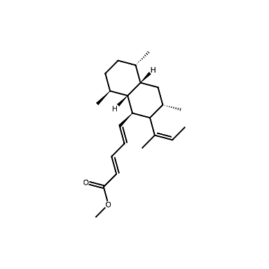 C/C=C(/C)C1[C@@H](/C=C/C=C/C(=O)OC)[C@H]2[C@@H](C[C@@H]1C)[C@@H](C)CC[C@@H]2C